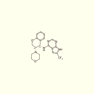 FC(F)(F)c1cc2c(N[C@H]3c4ccccc4OC[C@H]3N3CCOCC3)ncnc2[nH]1